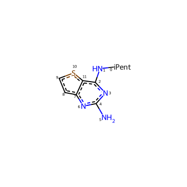 CCCC(C)Nc1nc(N)nc2ccsc12